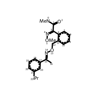 CNC(=O)/C(=N/OC)c1ccccc1CO/N=C(\C)c1cccc(C(C)C)c1